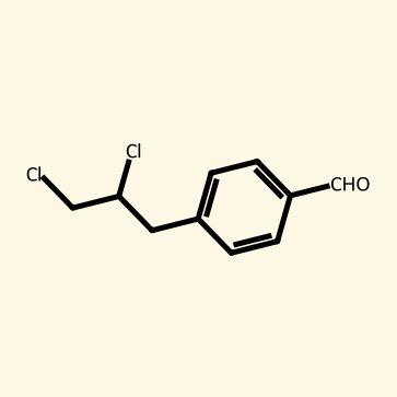 O=Cc1ccc(CC(Cl)CCl)cc1